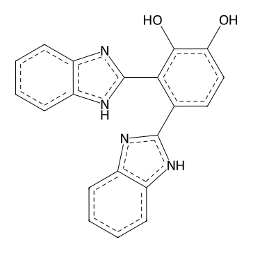 Oc1ccc(-c2nc3ccccc3[nH]2)c(-c2nc3ccccc3[nH]2)c1O